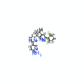 CC1(C)[C@H]2CC[C@]1(c1ccnc(-c3ccc(N)nc3)n1)c1nnc(-c3c(F)cccc3F)cc12